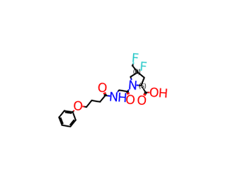 O=C(CCCOc1ccccc1)NCC(=O)N1C[C@@](F)(CF)C[C@H]1C(=O)O